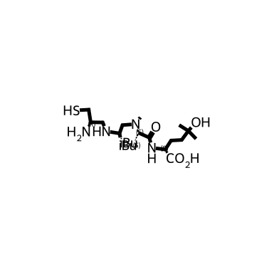 CCC(C)C(CN(C)[C@H](C(=O)N[C@@H](CCC(C)(C)O)C(=O)O)[C@@H](C)CC)NC[C@@H](N)CS